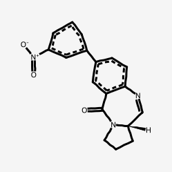 O=C1c2cc(-c3cccc([N+](=O)[O-])c3)ccc2N=C[C@@H]2CCCN12